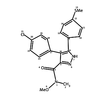 CON(C)C(=O)c1n[nH]c(-c2ccc(SC)cc2)c1-c1ccc(Cl)cc1